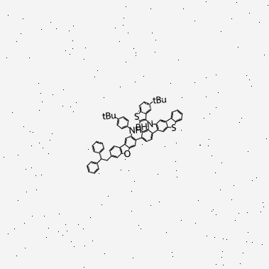 CC(C)(C)c1ccc(Nc2cc3c(cc2-c2ccc4c5cc6sc7ccccc7c6cc5n5c4c2Bc2sc4ccc(C(C)(C)C)cc4c2-5)oc2cc(CC(c4ccccc4)c4ccccc4)ccc23)cc1